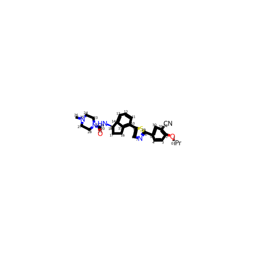 CC(C)Oc1ccc(-c2ncc(-c3cccc4c3CC[C@H]4NC(=O)N3CCN(C)CC3)s2)cc1C#N